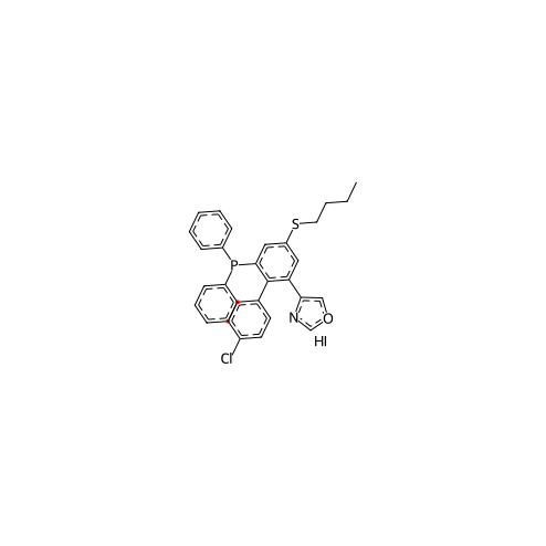 CCCCSc1cc(-c2cocn2)c(-c2ccc(Cl)cc2)c(P(c2ccccc2)c2ccccc2)c1.I